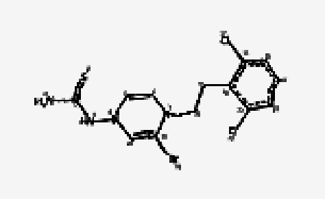 NC(=S)NN1C=CN(CCc2c(Cl)cccc2Cl)C(Br)=C1